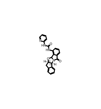 O=C(Nc1ccccn1)Nc1cccc2c1C1O[C@@H]3Cc4ccccc4[C@@H]3N1C2=O